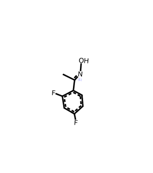 C/C(=N\O)c1ccc(F)cc1F